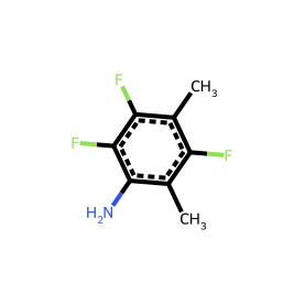 Cc1c(N)c(F)c(F)c(C)c1F